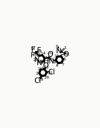 CN=S(C)(=O)c1cccc(NC(=O)c2cc(C(F)(F)F)nnc2Oc2ccc(Cl)cc2Cl)c1